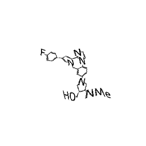 CN[C@H]1CN(c2ccc3c(c2)Cn2cc(-c4ccc(F)cc4)cc2-c2nccn2-3)C[C@@H]1CO